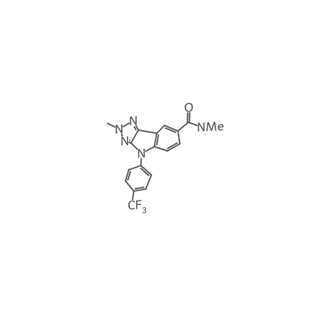 CNC(=O)c1ccc2c(c1)c1nn(C)nc1n2-c1ccc(C(F)(F)F)cc1